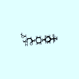 CN[C@H](COC)CC(=O)N1CCN(c2ncc(C(F)(F)F)cn2)CC1